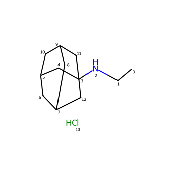 CCNC12CC3CC(CC(C3)C1)C2.Cl